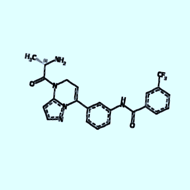 C[C@H](N)C(=O)N1CC=C(c2cccc(NC(=O)c3cccc(C(F)(F)F)c3)c2)n2nccc21